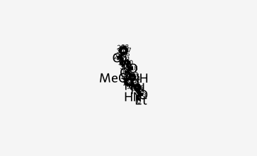 CCNC(=O)c1ncn(-c2ncc(OC)c3c(C(=O)C(=O)N4CCN(C(=O)c5ccccc5)CC4)c[nH]c23)n1